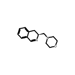 C1=N[C@H](CN2CCOCC2)Cc2ccccc21